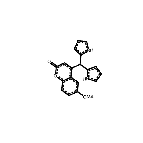 COc1ccc2oc(=O)cc(C(c3ccc[nH]3)c3ccc[nH]3)c2c1